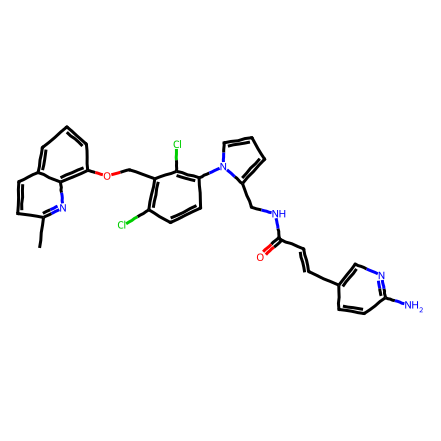 Cc1ccc2cccc(OCc3c(Cl)ccc(-n4cccc4CNC(=O)C=Cc4ccc(N)nc4)c3Cl)c2n1